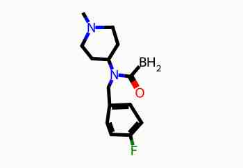 BC(=O)N(Cc1ccc(F)cc1)C1CCN(C)CC1